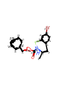 CC(Cc1ccc(Br)cc1F)NC(=O)OCc1ccccc1